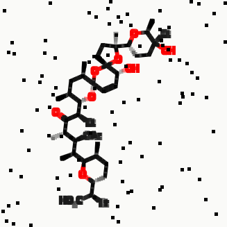 CC[C@@H](C(=O)[C@@H](C)[C@@H](OC(C)=O)[C@H](C)[C@@H]1O[C@@H]([C@@H](CC)C(=O)O)CC[C@@H]1C)[C@H]1O[C@]2(C=C[C@@H](O)[C@]3(CC[C@@](C)([C@H]4CC[C@](O)(CC)[C@H](C)O4)O3)O2)[C@H](C)C[C@@H]1C